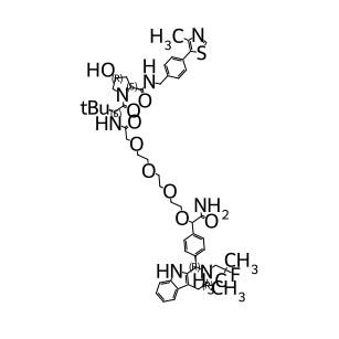 Cc1ncsc1-c1ccc(CNC(=O)[C@@H]2C[C@@H](O)CN2C(=O)[C@@H](NC(=O)COCCOCCOCCOC(C(N)=O)c2ccc([C@@H]3c4[nH]c5ccccc5c4C[C@@H](C)N3CC(C)(C)F)cc2)C(C)(C)C)cc1